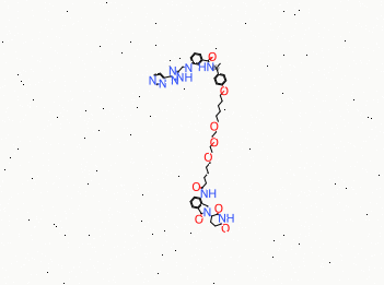 C[C@H](NC(=O)c1cccc(NCc2nnc(-c3ccncn3)n2C)c1)c1ccc(OCCCCCCOCCOCCOCCCCCC(=O)Nc2cccc3c2CN(C2CCC(=O)NC2=O)C3=O)cc1